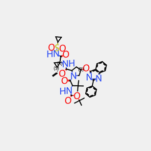 C=C[C@@H]1C[C@]1(NC(=O)C1C[C@@H](Oc2nc(-c3ccccc3)nc3ccccc23)CN1C(=O)C(NC(=O)OC(C)(C)C)C(C)(C)C)C(=O)NS(=O)(=O)C1CC1